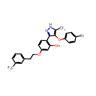 CCc1ccc(Oc2c(-c3ccc(OCCc4cccc(C(F)(F)F)c4)cc3O)n[nH]c2C(F)(F)F)cc1